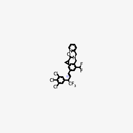 O=C(C1CC1)N(Cc1ccccn1)Cc1ccc(/C=C/C(c2cc(Cl)c(Cl)c(Cl)c2)C(F)(F)F)cc1C(F)F